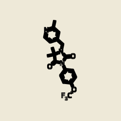 Cc1cc(CN2C(=O)N(c3ccc(OC(F)(F)F)cc3)C(=O)C2(C)C)ccn1